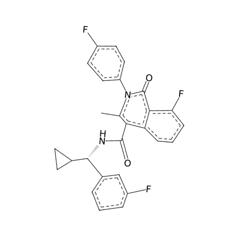 Cc1c(C(=O)N[C@H](c2cccc(F)c2)C2CC2)c2cccc(F)c2c(=O)n1-c1ccc(F)cc1